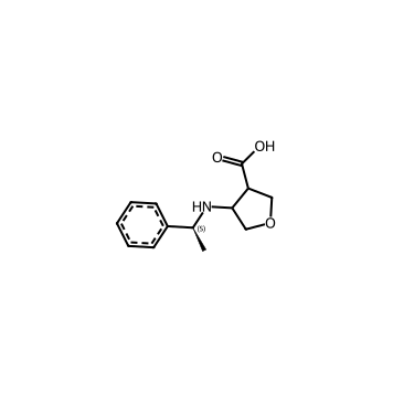 C[C@H](NC1COCC1C(=O)O)c1ccccc1